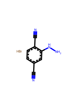 Br.N#Cc1ccc(C#N)c(NN)c1